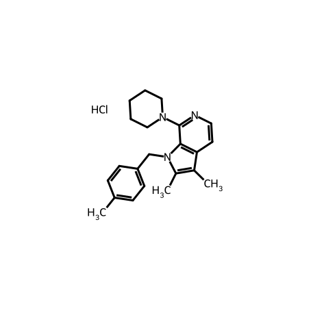 Cc1ccc(Cn2c(C)c(C)c3ccnc(N4CCCCC4)c32)cc1.Cl